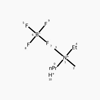 CCC[N+](C)(C)CC.F[B-](F)(F)F.[H+]